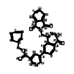 O=C(OCc1ccccc1)c1cncc(-c2ccc3c(=O)[nH]nc(CN4C(=O)c5ccccc5C4=O)c3c2)c1